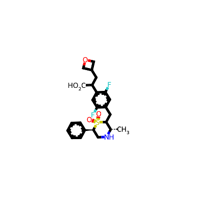 C[C@@H]1NC[C@@H](c2ccccc2)S(=O)(=O)C1Cc1cc(F)c(C(CC2COC2)C(=O)O)cc1F